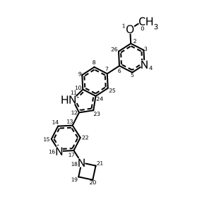 COc1cncc(-c2ccc3[nH]c(-c4ccnc(N5CCC5)c4)cc3c2)c1